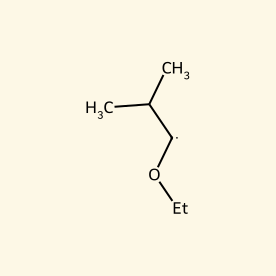 CCO[CH]C(C)C